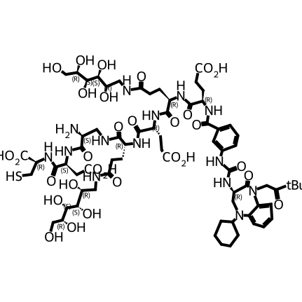 CC(C)(C)C(=O)CN1C(=O)[C@H](NC(=O)Nc2cccc(C(=O)N[C@H](CCC(=O)O)C(=O)N[C@H](CCC(=O)NC[C@@H](O)[C@H](O)[C@@H](O)[C@H](O)CO)C(=O)N[C@H](CCC(=O)O)C(=O)N[C@H](CCC(=O)NC[C@@H](O)[C@H](O)[C@@H](O)[C@H](O)CO)C(=O)NC[C@H](N)C(=O)N[C@@H](CC(=O)O)C(=O)N[C@@H](CS)C(=O)O)c2)CN(C2CCCCC2)c2ccccc21